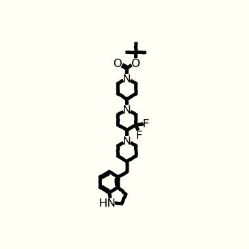 CC(C)(C)OC(=O)N1CCC(N2CCC(N3CCC(Cc4cccc5c4CCN5)CC3)C(F)(F)C2)CC1